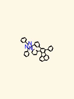 C=C(/C=C\C=C/C)c1c(-c2cccc(-c3nc(-c4ccccc4)nc(-c4ccccc4)n3)c2)cc(-c2ccccc2)c2c1-c1cccc3cccc-2c13